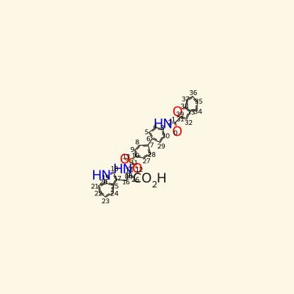 O=C(Nc1ccc(-c2ccc(S(=O)(=O)N[C@H](Cc3c[nH]c4ccccc34)C(=O)O)cc2)cc1)c1cc2ccccc2o1